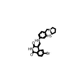 O=C1NC(=O)c2ccc(Br)cc2/C1=C/Nc1ccc(CN2CCCC2S)cc1